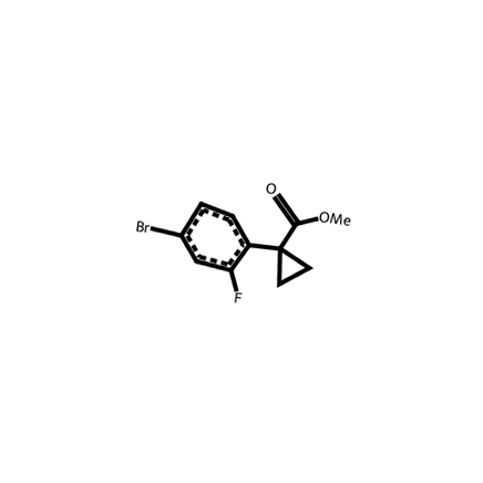 COC(=O)C1(c2ccc(Br)cc2F)CC1